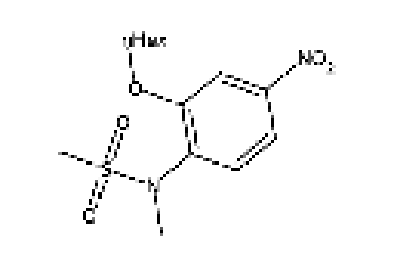 CCCCCCOc1cc([N+](=O)[O-])ccc1N(C)S(C)(=O)=O